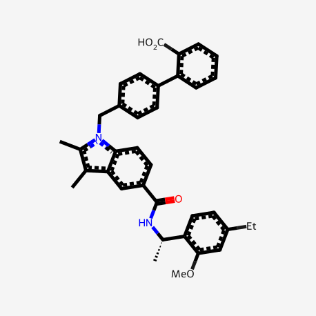 CCc1ccc([C@H](C)NC(=O)c2ccc3c(c2)c(C)c(C)n3Cc2ccc(-c3ccccc3C(=O)O)cc2)c(OC)c1